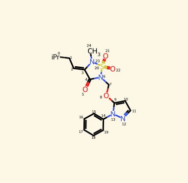 CC(C)CC=C1C(=O)N(COc2ccnn2-c2ccccc2)S(=O)(=O)N1C